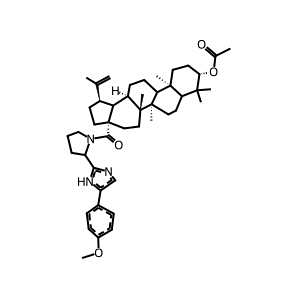 C=C(C)[C@@H]1CC[C@]2(C(=O)N3CCCC3c3ncc(-c4ccc(OC)cc4)[nH]3)CC[C@]3(C)[C@H](CCC4[C@@]5(C)CC[C@H](OC(C)=O)C(C)(C)C5CC[C@]43C)C12